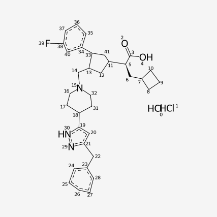 Cl.Cl.O=C(O)[C@@H](CC1CCC1)C1CC(CN2CCC(c3cc(Cc4ccccc4)n[nH]3)CC2)C(c2cccc(F)c2)C1